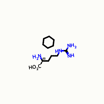 C1CCCCC1.N=C(N)NCCC[C@H](N)C(=O)O